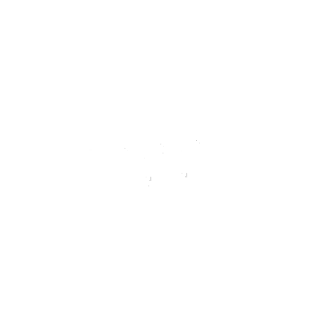 C=CCNC(=N)NC(=N)Nc1ccccc1